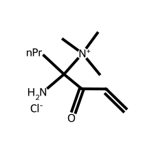 C=CC(=O)C(N)(CCC)[N+](C)(C)C.[Cl-]